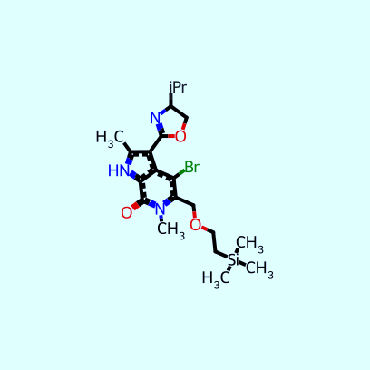 Cc1[nH]c2c(=O)n(C)c(COCC[Si](C)(C)C)c(Br)c2c1C1=NC(C(C)C)CO1